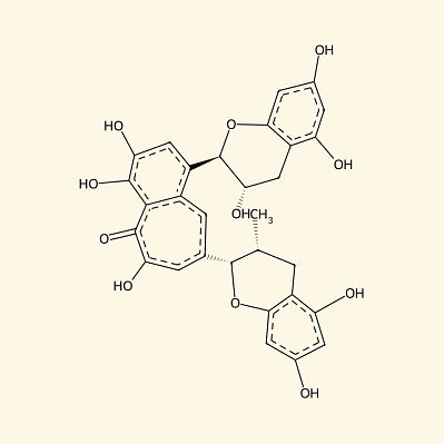 C[C@@H]1Cc2c(O)cc(O)cc2O[C@@H]1c1cc(O)c(=O)c2c(O)c(O)cc([C@H]3Oc4cc(O)cc(O)c4C[C@@H]3O)c2c1